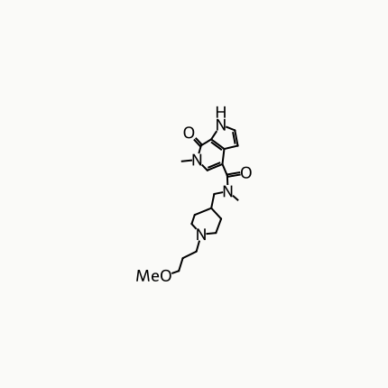 COCCCN1CCC(CN(C)C(=O)c2cn(C)c(=O)c3[nH]ccc23)CC1